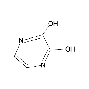 Oc1nccnc1O